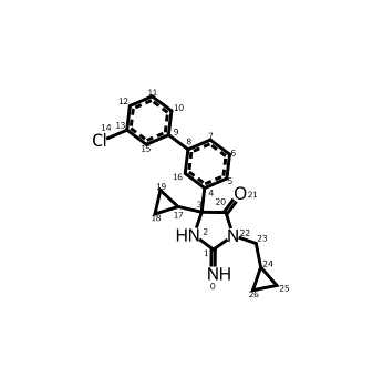 N=C1NC(c2cccc(-c3cccc(Cl)c3)c2)(C2CC2)C(=O)N1CC1CC1